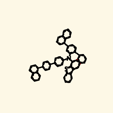 c1ccc(-c2ccc(-c3cccc4ccccc34)cc2N(c2ccc(-c3ccc(-c4cccc5ccccc45)cc3)cc2)c2cccc3c2sc2ccccc23)cc1